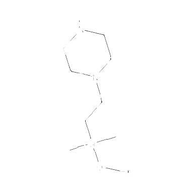 CCO[Si](C)(C)CCN1CCNCC1